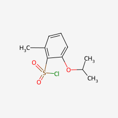 Cc1cccc(OC(C)C)c1S(=O)(=O)Cl